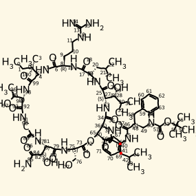 CC[C@H](C)[C@@H]1NC(=O)[C@@H](CCCNC(=N)N)NC(=O)[C@H](CC(C)C)NC(=O)[C@H]([C@H](O)C(C)C)NC(=O)[C@@H](NC(=O)[C@H](CC(C)C)NC(=O)[C@H](CNC(=O)OC(C)(C)C)Cc2ccccc2)[C@@H](c2ccccc2)OC(=O)[C@H](CO)NC(=O)[C@H]([C@H](O)C(N)=O)NC(=O)CNC(=O)[C@H]([C@H](C)O)NC1=O